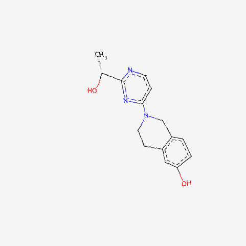 C[C@@H](O)c1nccc(N2CCc3cc(O)ccc3C2)n1